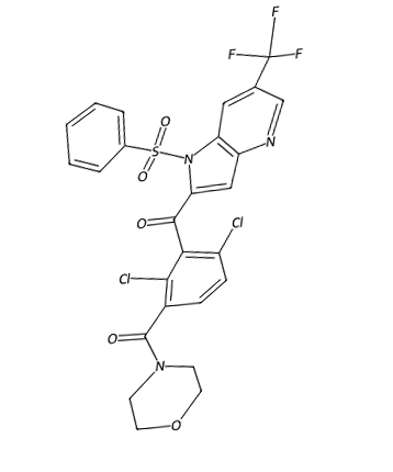 O=C(c1c(Cl)ccc(C(=O)N2CCOCC2)c1Cl)c1cc2ncc(C(F)(F)F)cc2n1S(=O)(=O)c1ccccc1